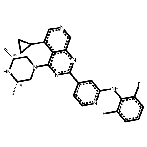 C[C@@H]1CN(c2nc(-c3ccnc(Nc4c(F)cccc4F)c3)nc3cncc(C4CC4)c23)C[C@H](C)N1